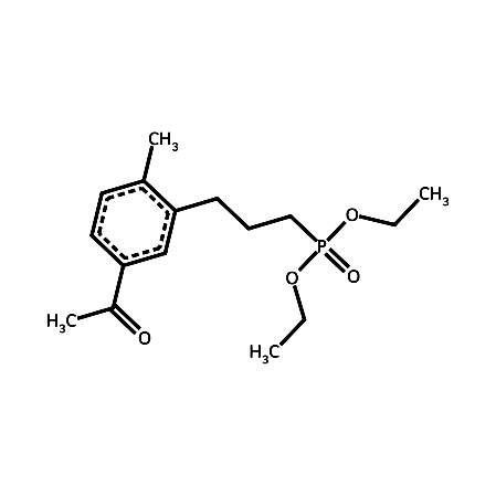 CCOP(=O)(CCCc1cc(C(C)=O)ccc1C)OCC